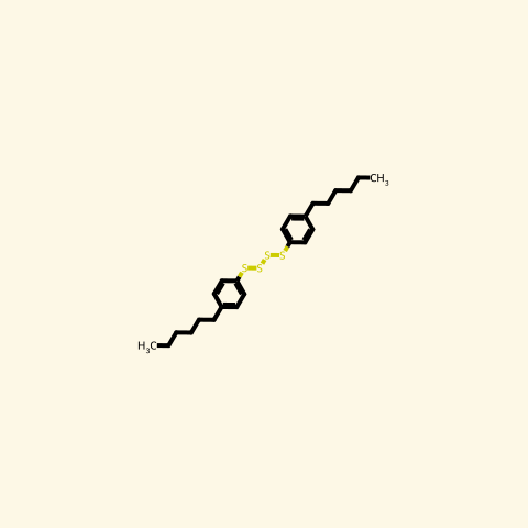 CCCCCCc1ccc(SSSSc2ccc(CCCCCC)cc2)cc1